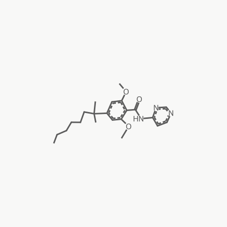 CCCCCCC(C)(C)c1cc(OC)c(C(=O)Nc2ccncn2)c(OC)c1